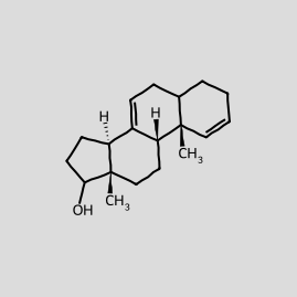 C[C@]12C=CCCC1CC=C1[C@H]2CC[C@]2(C)C(O)CC[C@@H]12